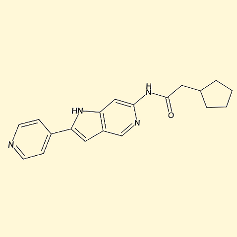 O=C(CC1CCCC1)Nc1cc2[nH]c(-c3ccncc3)cc2cn1